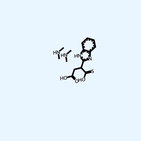 CNC.CNC.O=C(O)CC(C(O)=S)c1nc2ccccc2[nH]1